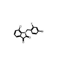 O=C1C(=O)N(Cc2ccc(Br)cc2F)c2c(Cl)cccc21